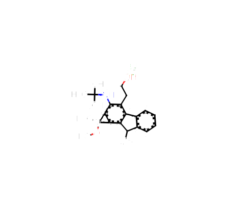 CO[Si]1(C)c2c(NC(C)(C)C)c(CCO)c3c(c21)[CH]([Zr+2])c1ccccc1-3.[Cl-].[Cl-]